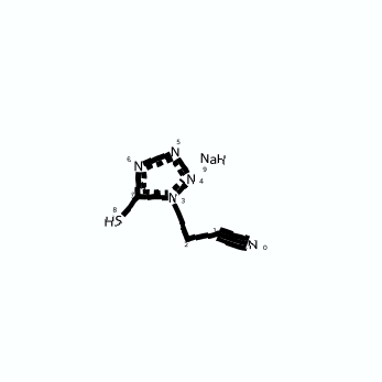 N#CCn1nnnc1S.[NaH]